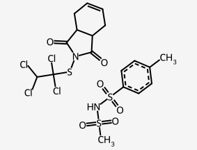 Cc1ccc(S(=O)(=O)NS(C)(=O)=O)cc1.O=C1C2CC=CCC2C(=O)N1SC(Cl)(Cl)C(Cl)Cl